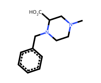 CN1CCN(Cc2ccccc2)C(C(=O)O)C1